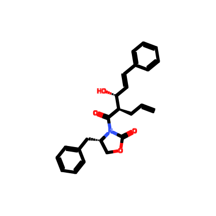 C=CC[C@@H](C(=O)N1C(=O)OC[C@@H]1Cc1ccccc1)[C@H](O)/C=C/c1ccccc1